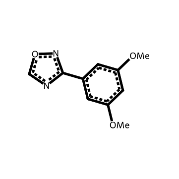 COc1cc(OC)cc(-c2ncon2)c1